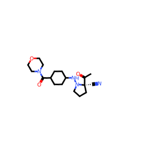 CC(=O)[C@@]1(C#N)CCCN1NC1CCC(C(=O)N2CCOCC2)CC1